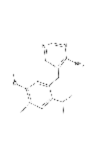 COc1cc(Cc2cnc(C)nc2N)c(C(C)C)cc1C